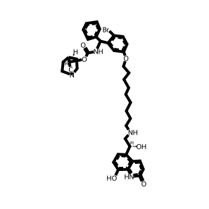 O=C(NC(c1ccccc1)c1cc(OCCCCCCCCCNC[C@H](O)c2ccc(O)c3[nH]c(=O)ccc23)ccc1Br)O[C@H]1CN2CCC1CC2